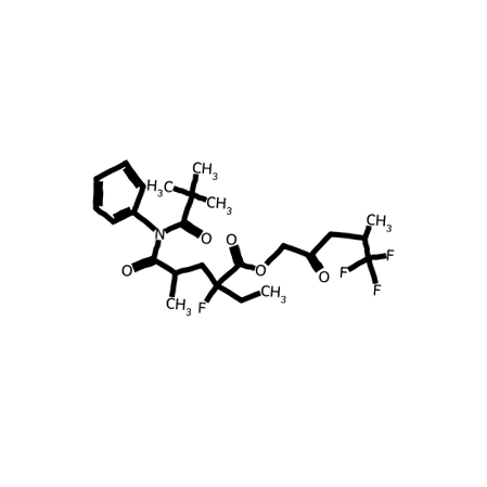 CCC(F)(CC(C)C(=O)N(C(=O)C(C)(C)C)c1ccccc1)C(=O)OCC(=O)CC(C)C(F)(F)F